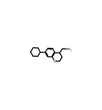 NCC1CCOc2cc(C3CCCCC3)ccc21